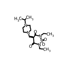 CCN1C(=O)C(=CN2CCN(C(C)C)CC2)C(=O)N(CC)S1(=O)=O